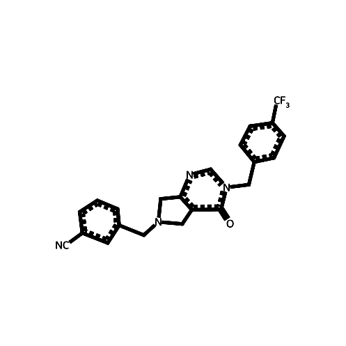 N#Cc1cccc(CN2Cc3ncn(Cc4ccc(C(F)(F)F)cc4)c(=O)c3C2)c1